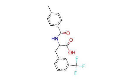 Cc1ccc(C(=O)NC(Cc2cccc(C(F)(F)F)c2)C(=O)O)cc1